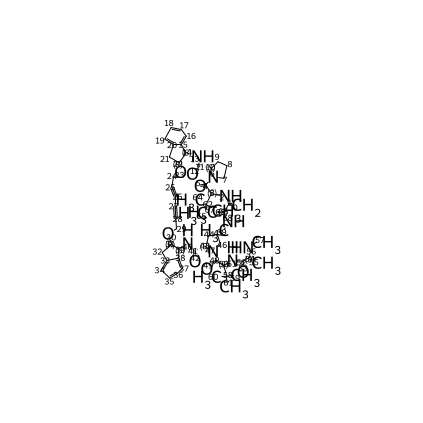 C=C(N[C@H](C(=O)N1CCC[C@H]1C(=O)N[C@H]1c2ccccc2C[C@H]1OCC#CC#CCO[C@@H]1Cc2ccccc2[C@@H]1NC(=O)[C@@H]1CCCN1C(=O)[C@@H](NC(=O)[C@H](C)NC)C(C)(C)C)C(C)(C)C)[C@H](C)NC